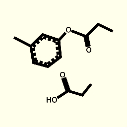 CCC(=O)O.CCC(=O)Oc1cccc(C)c1